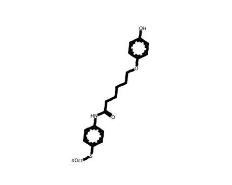 CCCCCCCCSc1ccc(NC(=O)CCCCCOc2ccc(O)cc2)cc1